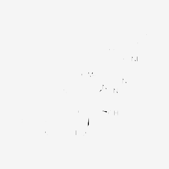 CO[C@@H]1[C@@H](n2cc(C(=O)NC3CC3)nn2)[C@@H](O)[C@@H](CO)O[C@@H]1Sc1ccc(Cl)c(Cl)c1